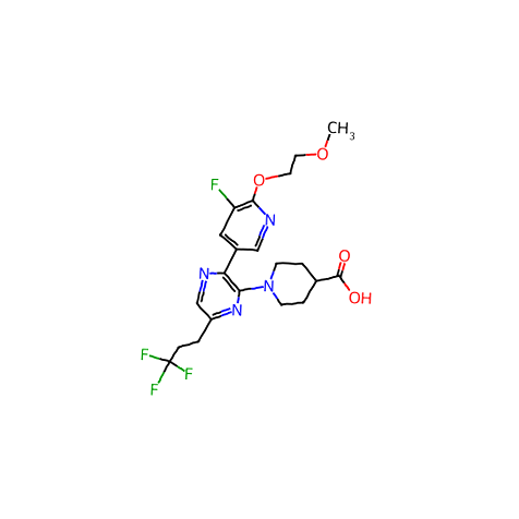 COCCOc1ncc(-c2ncc(CCC(F)(F)F)nc2N2CCC(C(=O)O)CC2)cc1F